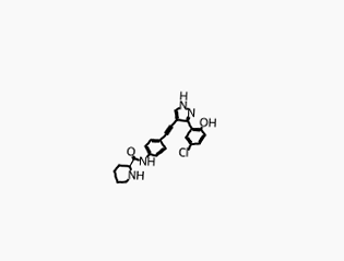 O=C(Nc1ccc(C#Cc2c[nH]nc2-c2cc(Cl)ccc2O)cc1)[C@@H]1CCCCN1